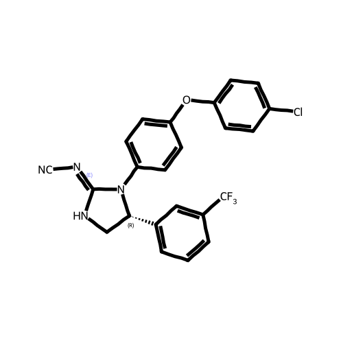 N#C/N=C1\NC[C@@H](c2cccc(C(F)(F)F)c2)N1c1ccc(Oc2ccc(Cl)cc2)cc1